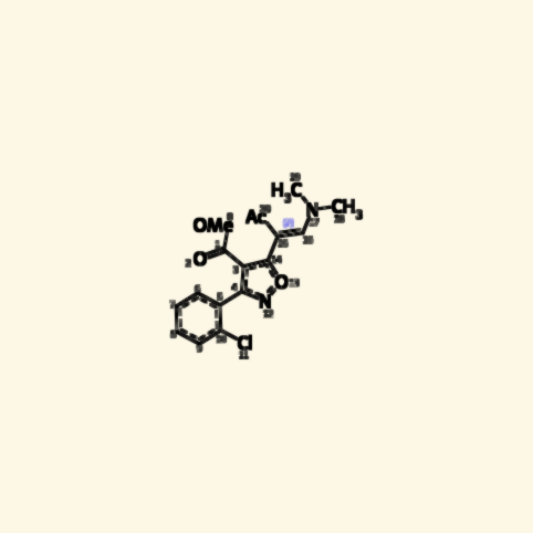 COC(=O)c1c(-c2ccccc2Cl)noc1/C(=C/N(C)C)C(C)=O